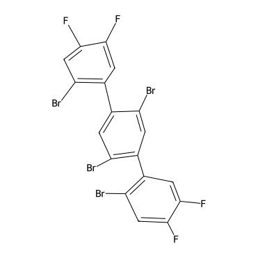 Fc1cc(Br)c(-c2cc(Br)c(-c3cc(F)c(F)cc3Br)cc2Br)cc1F